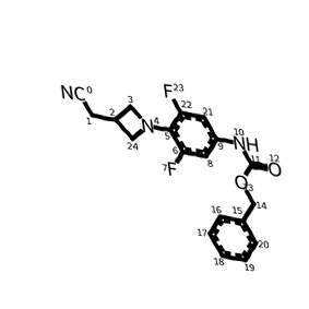 N#CCC1CN(c2c(F)cc(NC(=O)OCc3ccccc3)cc2F)C1